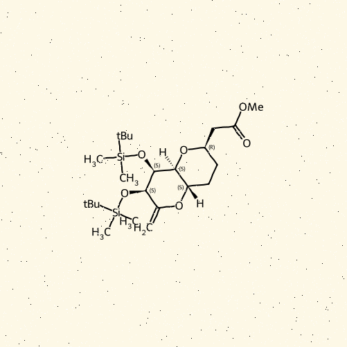 C=C1O[C@H]2CC[C@H](CC(=O)OC)O[C@@H]2[C@H](O[Si](C)(C)C(C)(C)C)[C@@H]1O[Si](C)(C)C(C)(C)C